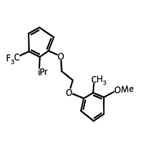 COc1cccc(OCCOc2cccc(C(F)(F)F)c2C(C)C)c1C